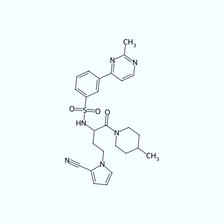 Cc1nccc(-c2cccc(S(=O)(=O)NC(CCn3cccc3C#N)C(=O)N3CCC(C)CC3)c2)n1